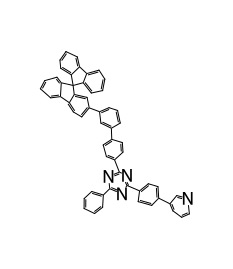 c1ccc(-c2nc(-c3ccc(-c4cccnc4)cc3)nc(-c3ccc(-c4cccc(-c5ccc6c(c5)C5(c7ccccc7-c7ccccc75)c5ccccc5-6)c4)cc3)n2)cc1